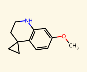 COc1ccc2c(c1)NCCC21CC1